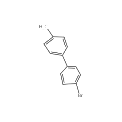 Cc1[c]cc(-c2ccc(Br)cc2)cc1